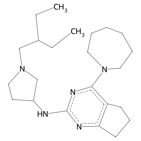 CCC(CC)CN1CCC(Nc2nc3c(c(N4CCCCCC4)n2)CCC3)C1